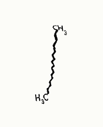 CCC=CCCCCCCCCCCCCCCC